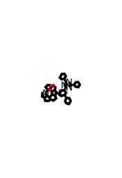 c1ccc(-c2cc(-c3nc(-c4ccccc4)nc(-c4ccccc4)n3)cc(-n3c4ccccc4c4c5c(ccc6ccn(-c7ccccc7)c65)ccc43)c2)cc1